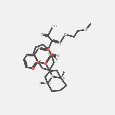 COCCO/N=C(\C(=O)O)c1nc2ccccc2n(C2C[C@H]3CCC[C@@H](C2)N3C2C[C@H]3CCCC[C@@H](C2)C3)c1=O